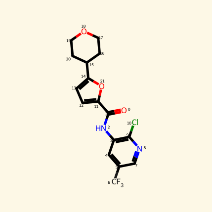 O=C(Nc1cc(C(F)(F)F)cnc1Cl)c1ccc(C2CCOCC2)o1